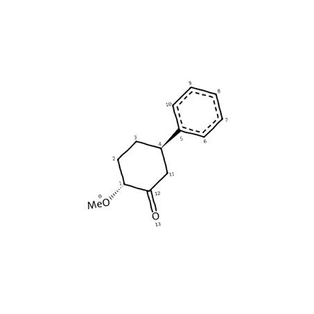 CO[C@@H]1CC[C@@H](c2ccccc2)CC1=O